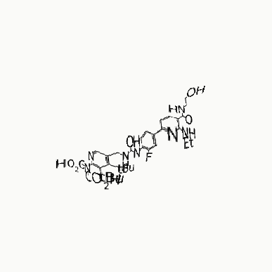 CCNc1nc(-c2ccc(NC(=O)NCc3cnc(N(C(=O)O)C(=O)O)c(C(C)(C)C)c3C(C)(C)C)c(F)c2)ccc1C(=O)NCCO